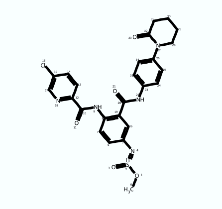 CO[SH](=O)=Nc1ccc(NC(=O)c2ccc(Cl)cn2)c(C(=O)Nc2ccc(N3CCCCC3=O)cc2)c1